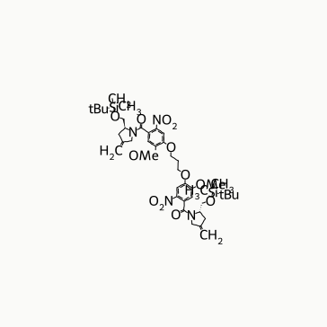 C=C1C[C@@H](CO[Si](C)(C)C(C)(C)C)N(C(=O)c2cc(OC)c(OCCCOc3cc([N+](=O)[O-])c(C(=O)N4CC(=C)C[C@H]4CO[Si](C)(C)C(C)(C)C)cc3OC)cc2[N+](=O)[O-])C1